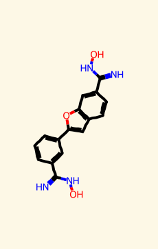 N=C(NO)c1cccc(-c2cc3ccc(C(=N)NO)cc3o2)c1